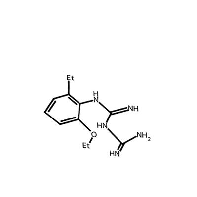 CCOc1cccc(CC)c1NC(=N)NC(=N)N